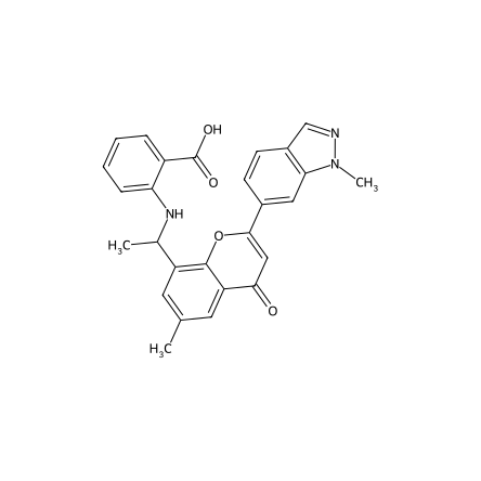 Cc1cc(C(C)Nc2ccccc2C(=O)O)c2oc(-c3ccc4cnn(C)c4c3)cc(=O)c2c1